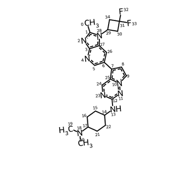 Cc1nc2ncc(-c3ccn4nc(NC5CCC(N(C)C)CC5)ncc34)cc2n1C1CC(F)(F)C1